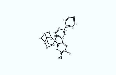 Clc1cc2c(cc1Br)-c1cc(-c3ccccc3)ccc1C21C2CC3CC(C2)CC1C3